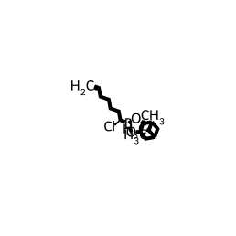 C=CCCCC[C@H](Cl)B1OC2CC3CC(C3(C)C)C2(C)O1